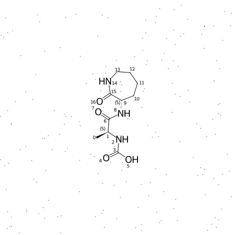 C[C@H](NC(=O)O)C(=O)N[C@H]1CCCCNC1=O